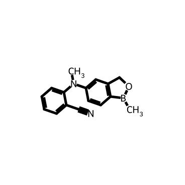 CB1OCc2cc(N(C)c3ccccc3C#N)ccc21